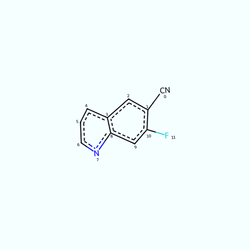 N#Cc1cc2cccnc2cc1F